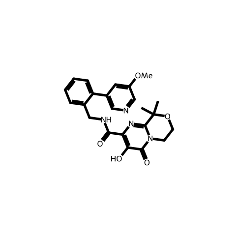 COc1cncc(-c2ccccc2CNC(=O)c2nc3n(c(=O)c2O)CCOC3(C)C)c1